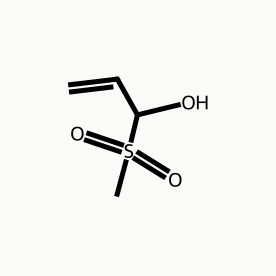 C=CC(O)S(C)(=O)=O